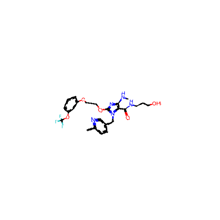 CNc1nc(OCCOc2cccc(OC(F)(F)F)c2)n(Cc2ccc(C)nc2)c1C(=O)NCCCO